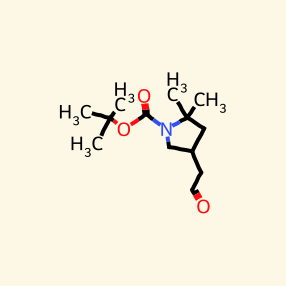 CC(C)(C)OC(=O)N1CC(CC=O)CC1(C)C